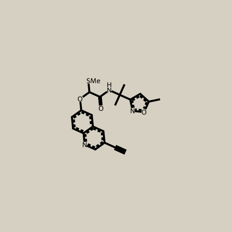 C#Cc1cnc2ccc(OC(SC)C(=O)NC(C)(C)c3cc(C)on3)cc2c1